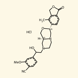 COc1cc(C(O)CN2CCN3C[C@@H](c4ccc5c(c4C)COC5=O)OC[C@@H]3C2)ccc1C#N.Cl